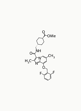 COC(=O)[C@H]1CC[C@H](CNC(=O)c2c(C)nc3c(OCc4c(F)cccc4F)cc(C)cn23)CC1